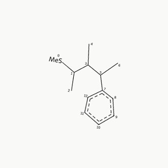 CSC(C)C(C)C(C)c1ccccc1